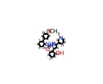 COc1ccc(-c2ccccc2NC(=O)N2N=C(c3cccnc3)CC2c2ccccc2O)cc1